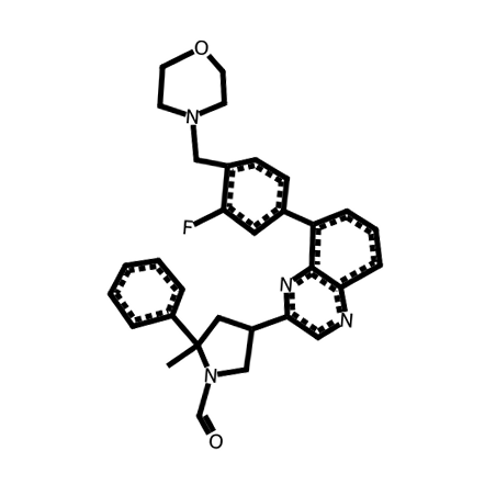 CC1(c2ccccc2)CC(c2cnc3cccc(-c4ccc(CN5CCOCC5)c(F)c4)c3n2)CN1C=O